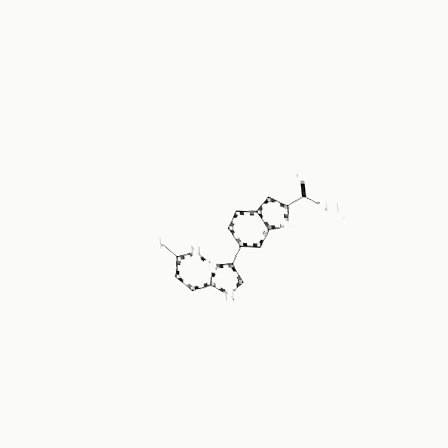 NC(=O)c1cc2ccc(-c3cnc4ccc(Cl)nn34)cc2o1